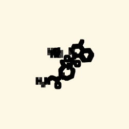 Cc1cnc(S(=O)(=O)N2CCCN(C(=O)CN)CC2C)c2ccccc12.Cl.Cl